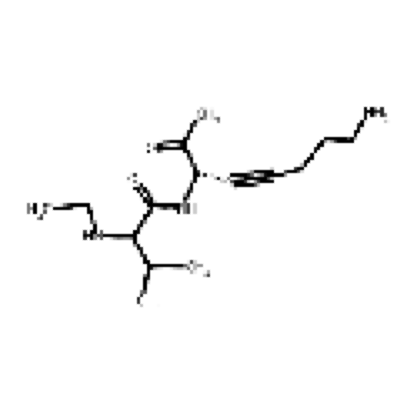 CCNC(C(=O)N[C@@H](C#CCCCN)C(C)=O)C(C)C